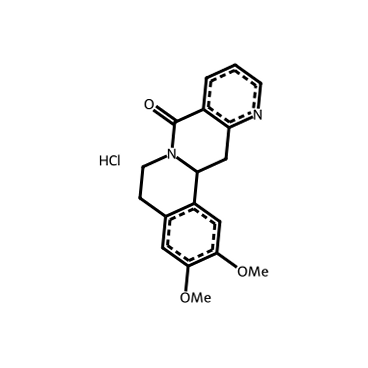 COc1cc2c(cc1OC)C1Cc3ncccc3C(=O)N1CC2.Cl